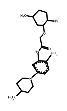 CC1CCC(C(C)C)C(OCC(=O)Nc2cc(N3CCC(C(=O)O)CC3)ccc2[N+](=O)[O-])C1